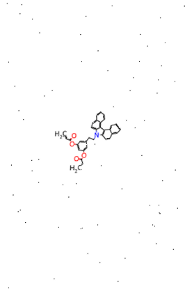 C=CC(=O)Oc1cc(CCn2c3ccc4ccccc4c3c3c4ccccc4ccc32)cc(OC(=O)C=C)c1